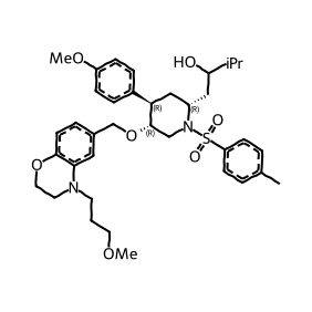 COCCCN1CCOc2ccc(CO[C@H]3CN(S(=O)(=O)c4ccc(C)cc4)[C@@H](CC(O)C(C)C)C[C@@H]3c3ccc(OC)cc3)cc21